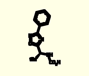 CC(C)(C)[C@H](NC(=O)O)c1nc(-c2ccccc2)no1